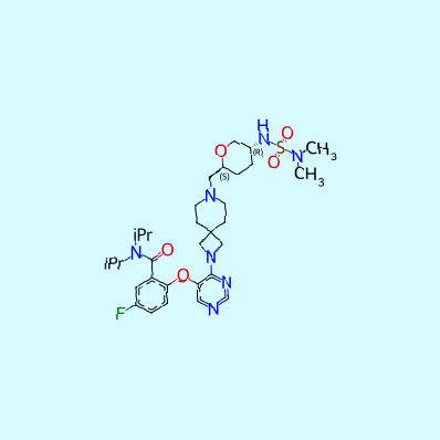 CC(C)N(C(=O)c1cc(F)ccc1Oc1cncnc1N1CC2(CCN(C[C@@H]3CC[C@@H](NS(=O)(=O)N(C)C)CO3)CC2)C1)C(C)C